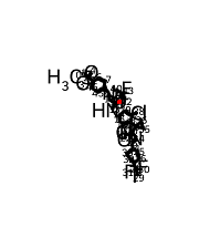 CCS(=O)(=O)c1ccc(N(CC(=O)Nc2cc(Cl)c(C3(c4noc(-c5ccc(C(F)(F)F)cc5)n4)CC3)c(Cl)c2)CC(F)(F)F)cc1